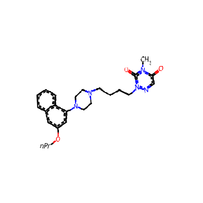 CCCOc1cc(N2CCN(CCCCn3ncc(=O)n(C)c3=O)CC2)c2ccccc2c1